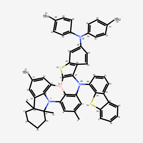 Cc1cc2c3c(c1)N1c4c(cc(C(C)(C)C)cc4C4(C)CCCCC14C)B3c1sc3cc(N(c4ccc(C(C)(C)C)cc4)c4ccc(C(C)(C)C)cc4)ccc3c1N2c1cccc2c1sc1ccccc12